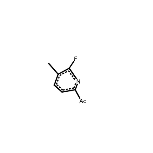 CC(=O)c1ccc(C)c(F)n1